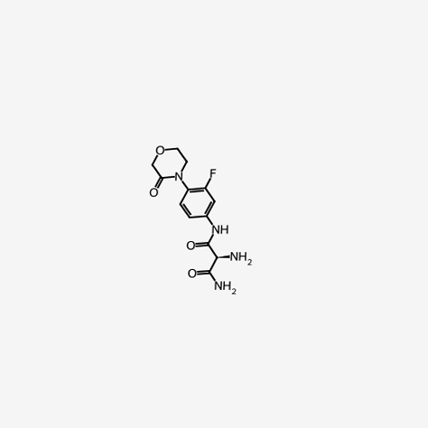 NC(=O)[C@H](N)C(=O)Nc1ccc(N2CCOCC2=O)c(F)c1